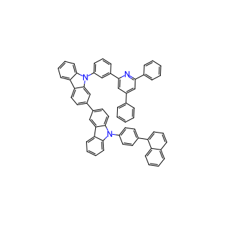 c1ccc(-c2cc(-c3ccccc3)nc(-c3cccc(-n4c5ccccc5c5ccc(-c6ccc7c(c6)c6ccccc6n7-c6ccc(-c7cccc8ccccc78)cc6)cc54)c3)c2)cc1